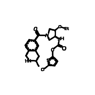 CCOC1CN(C(=O)c2ccc3c(c2)CC(C)NC3)CC1NC(=O)Oc1ccc(Cl)s1